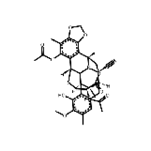 COc1c(C)cc2c(c1O)[C@H]1C3[C@@H]4SC[C@H](NC(C)=O)C(=O)OC[C@@H](c5c6c(c(C)c(OC(C)=O)c54)OCO6)N3[C@@H](C#N)[C@@H](C2)N1C